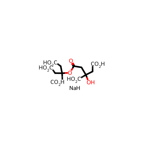 O=C(O)CC(O)(CC(=O)OC(CC(=O)O)(CC(=O)O)C(=O)O)C(=O)O.[NaH]